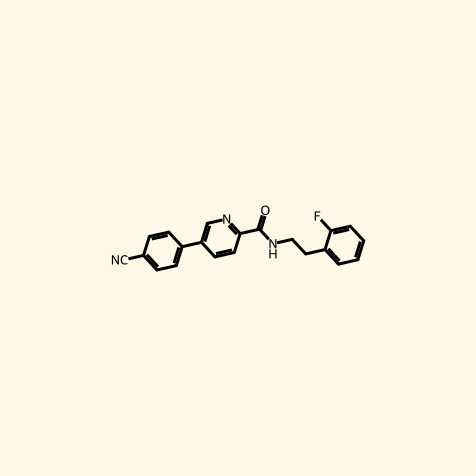 N#Cc1ccc(-c2ccc(C(=O)NCCc3ccccc3F)nc2)cc1